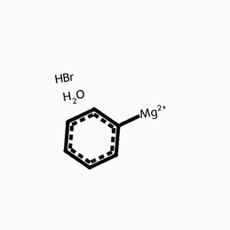 Br.O.[Mg+2][c]1ccccc1